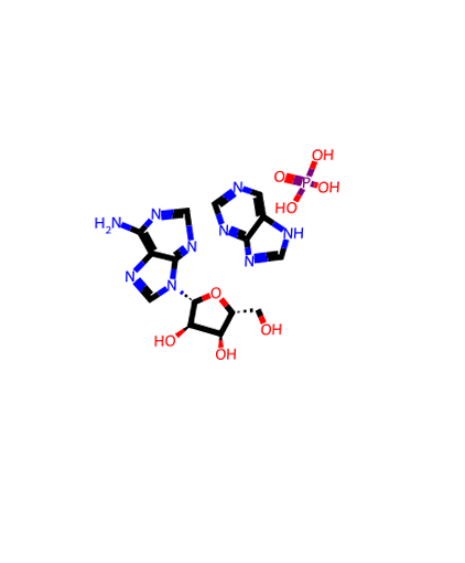 Nc1ncnc2c1ncn2[C@@H]1O[C@H](CO)[C@@H](O)[C@H]1O.O=P(O)(O)O.c1ncc2[nH]cnc2n1